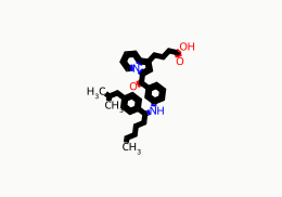 CCCCCC(Nc1cccc(C(=O)c2cc(CCCC(=O)O)c3ccccn23)c1)c1ccc(CC(C)C)cc1